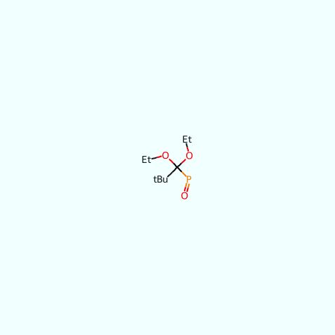 CCOC(OCC)(P=O)C(C)(C)C